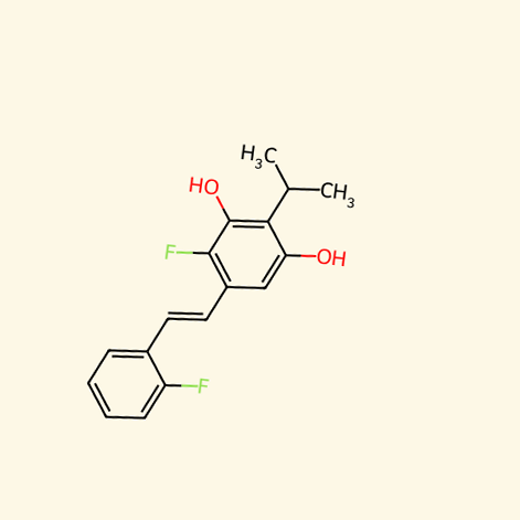 CC(C)c1c(O)cc(C=Cc2ccccc2F)c(F)c1O